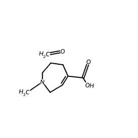 C=O.CN1CC=C(C(=O)O)CCC1